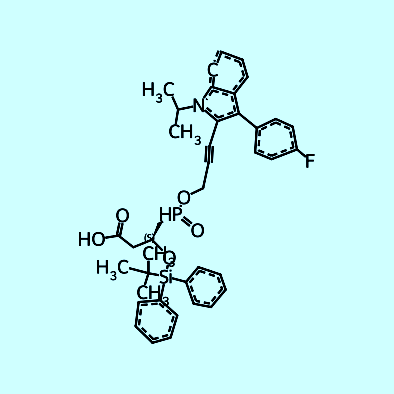 CC(C)n1c(C#CCO[PH](=O)C[C@H](CC(=O)O)O[Si](c2ccccc2)(c2ccccc2)C(C)(C)C)c(-c2ccc(F)cc2)c2ccccc21